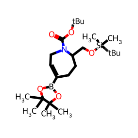 CC(C)(C)OC(=O)N1CC=C(B2OC(C)(C)C(C)(C)O2)CCC1CO[Si](C)(C)C(C)(C)C